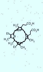 CCC1=C(C)c2nc1cc1[nH]c(cc3nc(cc4[nH]c(c2C)c(CC)c4C)C(C)=C3CCC(=O)O)c(CCC(=O)O)c1C